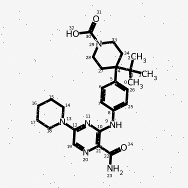 CC(C)(C)C1(c2ccc(Nc3nc(N4CCCCC4)cnc3C(N)=O)cc2)CCN(C(=O)O)CC1